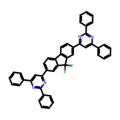 FC1(F)c2cc(-c3cc(-c4ccccc4)nc(-c4ccccc4)n3)ccc2-c2ccc(-c3cc(-c4ccccc4)nc(-c4ccccc4)n3)cc21